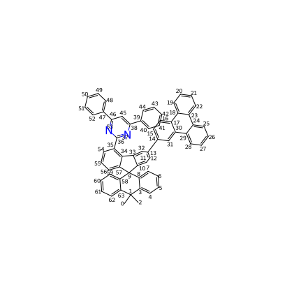 CC1(C)c2ccccc2C2(c3ccc(-c4ccc5c6ccccc6c6ccccc6c5c4)cc3-c3c(-c4nc(-c5ccccc5)cc(-c5ccccc5)n4)cccc32)c2ccccc21